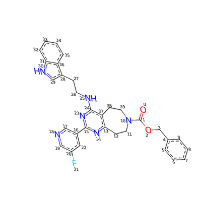 O=C(OCc1ccccc1)N1CCc2nc(-c3cncc(F)c3)nc(NCCc3c[nH]c4ccccc34)c2CC1